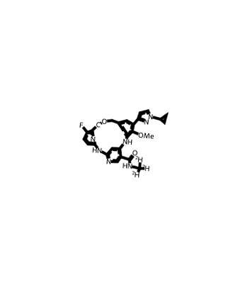 [2H]C([2H])([2H])NC(=O)c1cnc2cc1Nc1cc(cc(-c3ccn(C4CC4)n3)c1OC)COCc1nc(ccc1F)N2